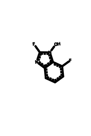 On1c(F)nc2cccc(F)c21